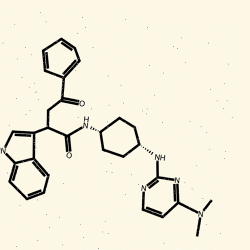 CN(C)c1ccnc(N[C@H]2CC[C@@H](NC(=O)C(CC(=O)c3ccccc3)c3c[nH]c4ccccc34)CC2)n1